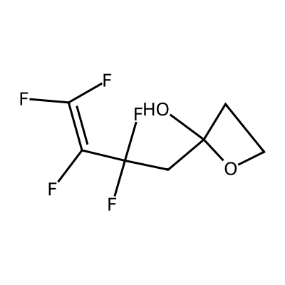 OC1(CC(F)(F)C(F)=C(F)F)CCO1